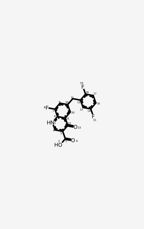 O=C(O)c1c[nH]c2c(F)cc(Cc3cc(F)ccc3F)cc2c1=O